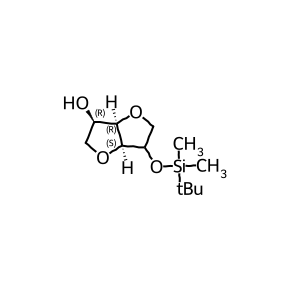 CC(C)(C)[Si](C)(C)OC1CO[C@@H]2[C@H](O)CO[C@H]12